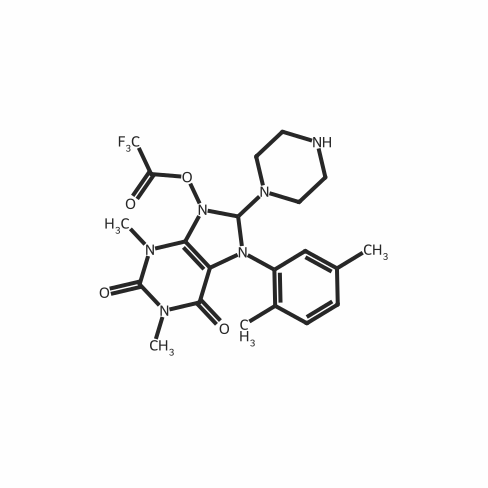 Cc1ccc(C)c(N2c3c(n(C)c(=O)n(C)c3=O)N(OC(=O)C(F)(F)F)C2N2CCNCC2)c1